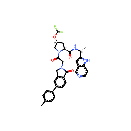 Cc1ccc(-c2ccc3c(c2)CN(CC(=O)N2C[C@H](OC(F)F)C[C@H]2C(=O)N[C@H](C)c2cc4cnccc4[nH]2)C3=O)cc1